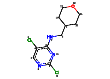 Clc1ncc(Cl)c(NCC2CCOCC2)n1